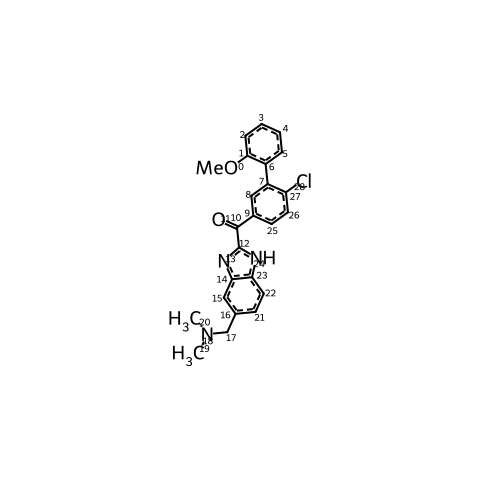 COc1ccccc1-c1cc(C(=O)c2nc3cc(CN(C)C)ccc3[nH]2)ccc1Cl